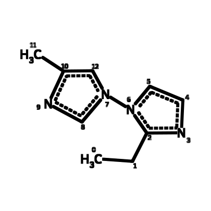 CCc1nccn1-n1cnc(C)c1